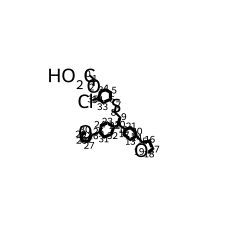 O=C(O)COc1ccc(SCC=C(c2ccc(-c3ccco3)cc2)c2ccc(-c3ccco3)cc2)cc1Cl